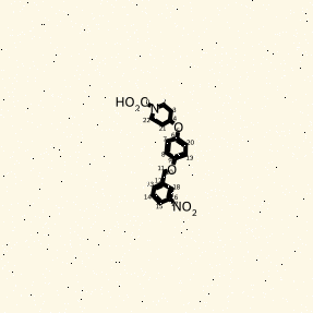 O=C(O)N1CCC(Oc2ccc(OCc3cccc([N+](=O)[O-])c3)cc2)CC1